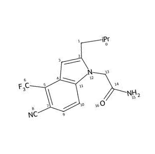 CC(C)Cc1cc2c(C(F)(F)F)c(C#N)ccc2n1CC(N)=O